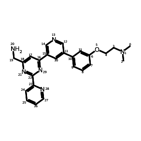 CN(C)CCOc1cccc(-c2cncc(-c3cc(CN)nc(-c4ccccn4)n3)c2)c1